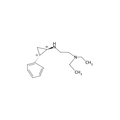 CCN(CC)CCN[C@@H]1C[C@H]1c1ccccc1